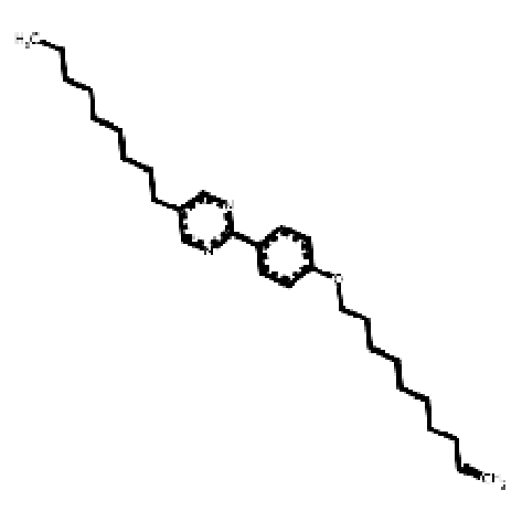 C=CCCCCCCCCOc1ccc(-c2ncc(CCCCCCCCC)cn2)cc1